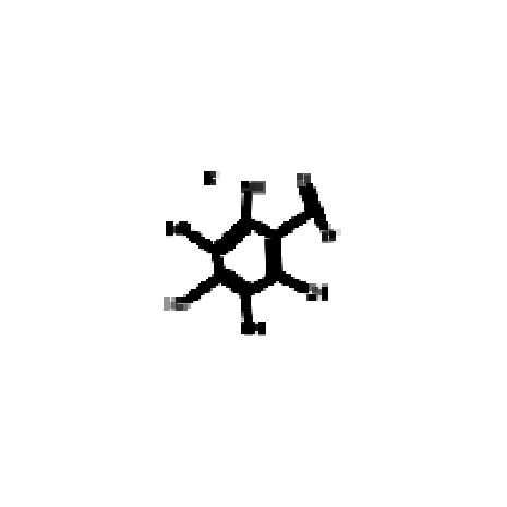 O=C([O-])c1c(O)c(O)c(O)c(O)c1O.[K+]